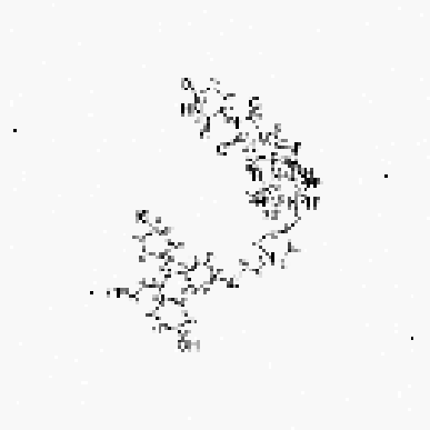 [2H]C1([2H])N(CC2CCN(CCOc3ccc(C(=C(CCCl)c4ccc(O)cc4)c4ccc(O)cc4)cc3)CC2)C([2H])([2H])C([2H])([2H])N(c2c(F)cc3c(c2F)C(=O)N(C2CCC(=O)NC2=O)C3=O)C1([2H])[2H]